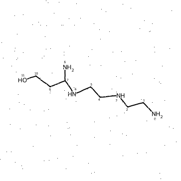 NCCNCCNC(N)CCO